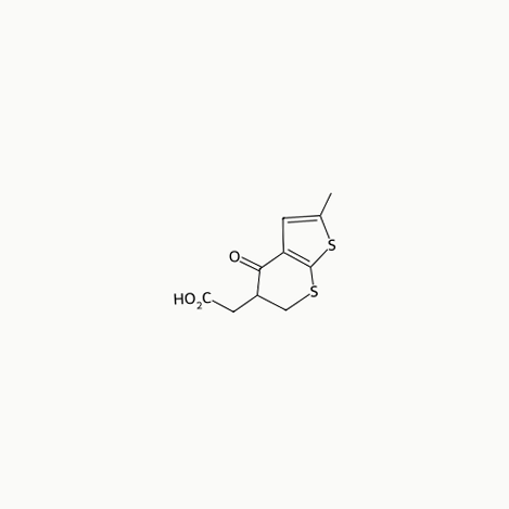 Cc1cc2c(s1)SCC(CC(=O)O)C2=O